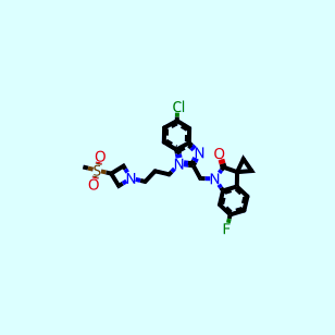 CS(=O)(=O)C1CN(CCCn2c(CN3C(=O)C4(CC4)c4ccc(F)cc43)nc3cc(Cl)ccc32)C1